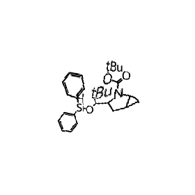 CC(C)(C)OC(=O)N1C2CC2CC1C(O[SiH](c1ccccc1)c1ccccc1)C(C)(C)C